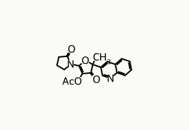 CC(=O)OC1=C(N2CCCC2=O)OC(C)(c2cnc3ccccc3c2)C1=O